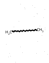 C=CC=CCCCCCCCCCCCCCCCC